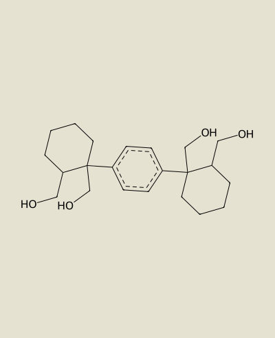 OCC1CCCCC1(CO)c1ccc(C2(CO)CCCCC2CO)cc1